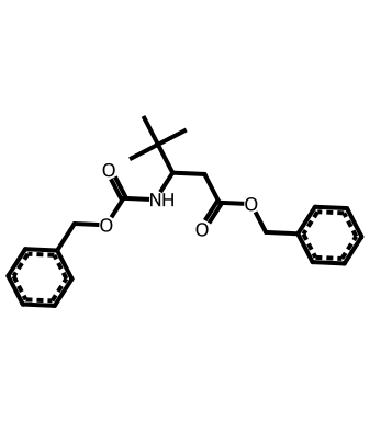 CC(C)(C)C(CC(=O)OCc1ccccc1)NC(=O)OCc1ccccc1